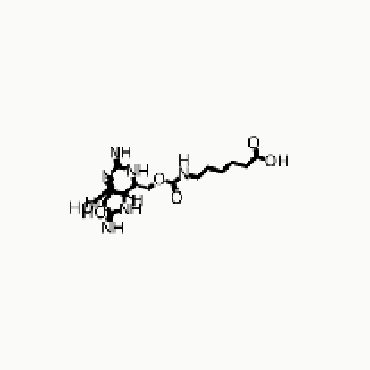 N=C1N[C@H]2[C@H](COC(=O)NCCCCCC(=O)O)NC(=N)N3CCC(O)(O)[C@]23N1